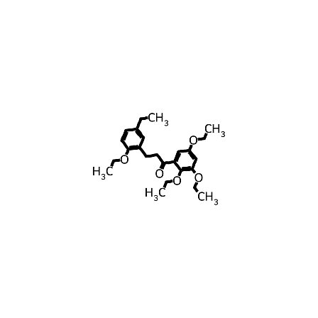 CCOc1cc(OCC)c(OCC)c(C(=O)CCc2cc(CC)ccc2OCC)c1